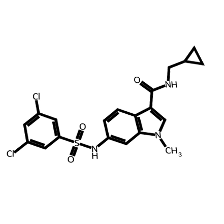 Cn1cc(C(=O)NCC2CC2)c2ccc(NS(=O)(=O)c3cc(Cl)cc(Cl)c3)cc21